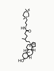 CC(CCC(=O)NCCC[N+]1(C)CC[N+](C)(C)CC1)CC[C@@]12CCC[C@H]1[C@@H]1CC[C@@H]3C[C@H](O)CC[C@]3(C)[C@H]1CC2